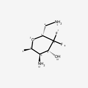 C[C@H]1O[C@H](CN)C(F)(F)[C@H](O)[C@H]1N